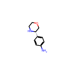 Nc1ccc([C@H]2COCCN2)cc1